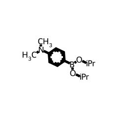 CC(C)OB(OC(C)C)c1ccc(N(C)C)cc1